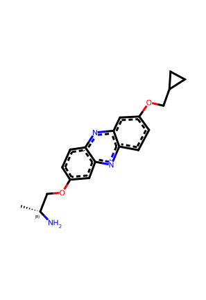 C[C@@H](N)COc1ccc2nc3cc(OCC4CC4)ccc3nc2c1